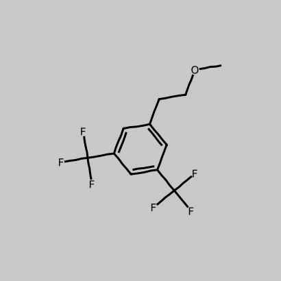 COCCc1cc(C(F)(F)F)cc(C(F)(F)F)c1